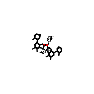 CCC1=Cc2c(-c3ccccc3C)cc(C)c(C)c2[CH]1[Zr+2]1([CH]2C(CC)=Cc3c(-c4ccccc4C)cc(C)c(C)c32)[CH2][CH2]1.[Cl-].[Cl-]